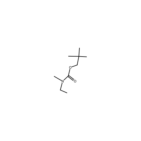 CCN(C)C(=O)OCC(C)(C)C